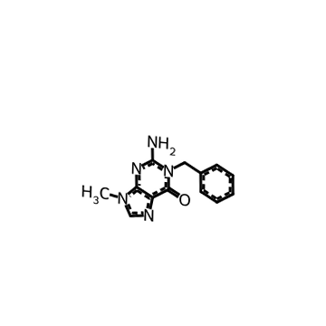 Cn1cnc2c(=O)n(Cc3ccccc3)c(N)nc21